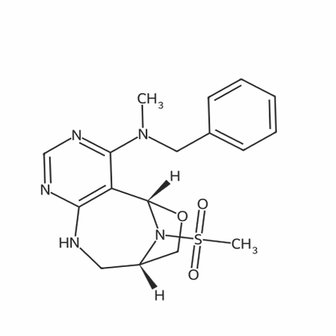 CN(Cc1ccccc1)c1ncnc2c1[C@@H]1OC[C@H](CN2)N1S(C)(=O)=O